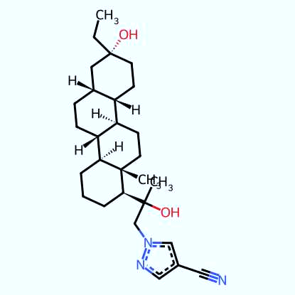 CC[C@@]1(O)CC[C@H]2[C@H](CC[C@@H]3[C@@H]2CC[C@]2(C)[C@@H](C(C)(O)Cn4cc(C#N)cn4)CCC[C@@H]32)C1